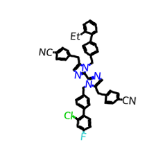 CCc1ccccc1-c1ccc(Cn2c(Cc3ccc(C#N)cc3)cnc2-c2ncc(Cc3ccc(C#N)cc3)n2Cc2ccc(-c3ccc(F)cc3Cl)cc2)cc1